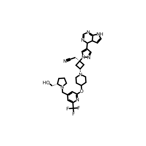 N#CC[C@]1(n2cc(C3N=CN=C4NC=CC43)cn2)C[C@H](N2CCC(Oc3cc(CN4CCC[C@H]4CO)cc(C(F)(F)F)n3)CC2)C1